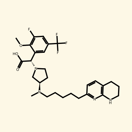 COc1c(F)cc(C(F)(F)F)cc1[C@@H](C(=O)O)N1CC[C@@H](N(C)CCCCCc2ccc3c(n2)NCCC3)C1